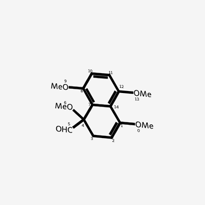 COC1=CCC(C=O)(OC)c2c(OC)ccc(OC)c21